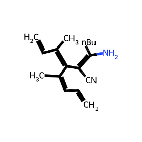 C=C\C=C(C)/C(C(/C#N)=C(/N)CCCC)=C(/C)C=C